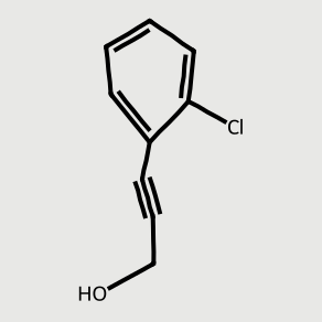 OCC#Cc1ccccc1Cl